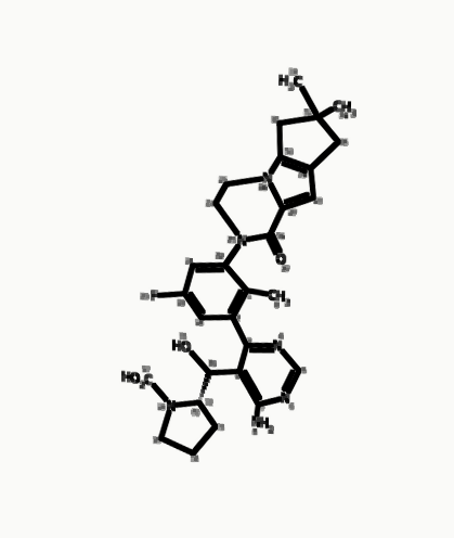 Cc1c(-c2ncnc(N)c2C(O)[C@@H]2CCCN2C(=O)O)cc(F)cc1N1CCn2c(cc3c2CC(C)(C)C3)C1=O